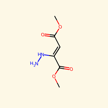 COC(=O)C=C(NN)C(=O)OC